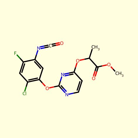 COC(=O)C(C)Oc1ccnc(Oc2cc(N=C=O)c(F)cc2Cl)n1